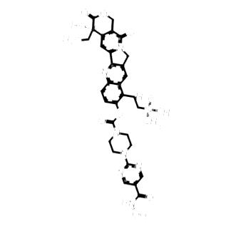 CC[C@@]1(O)C(=O)OCc2c1cc1n(c2=O)Cc2cc3c(CC[Si](C)(C)C)c(OC(=O)N4CCN(c5ncc(C(=O)NO)cn5)CC4)ccc3nc2-1